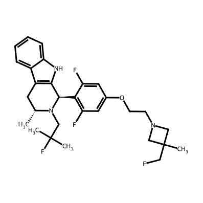 C[C@@H]1Cc2c([nH]c3ccccc23)[C@@H](c2c(F)cc(OCCN3CC(C)(CF)C3)cc2F)N1CC(C)(C)F